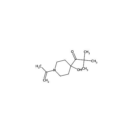 C=C(C)N1CCC(O)(C(=O)C(C)(C)C)CC1